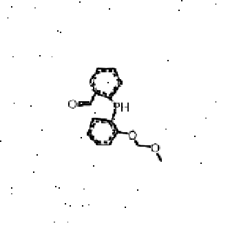 COCOc1ccccc1Pc1ccccc1C=O